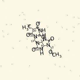 COCN1C(=O)NC2C1NC(=O)N2CN1C(=O)NC(=O)C(C)C1=O